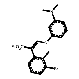 CCOC(=O)C(=CNc1cccc(N(C)C)c1)c1cccc(Br)c1C